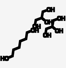 OCC(O)CO.OCC(O)CO.OCCCCCCO